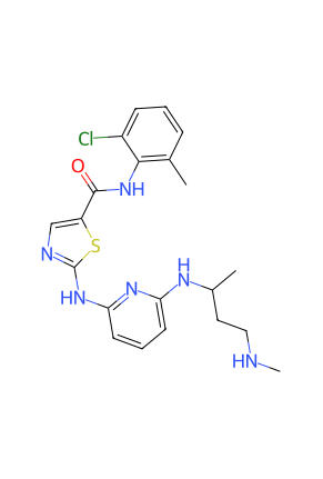 CNCCC(C)Nc1cccc(Nc2ncc(C(=O)Nc3c(C)cccc3Cl)s2)n1